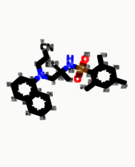 CC[C@@](C)(CN(CCC#N)c1cccc2ccccc12)NS(=O)(=O)c1c(C)cc(C)cc1C